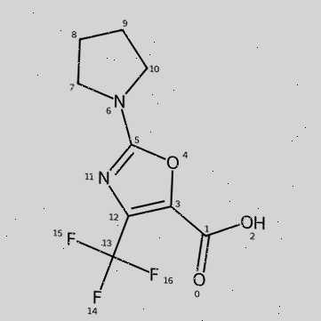 O=C(O)c1oc(N2CCCC2)nc1C(F)(F)F